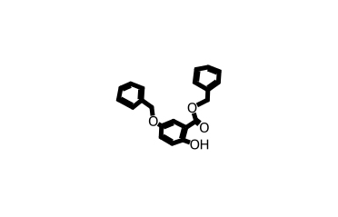 O=C(OCc1ccccc1)c1cc(OCc2ccccc2)ccc1O